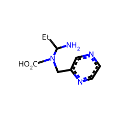 CCC(N)N(Cc1cnccn1)C(=O)O